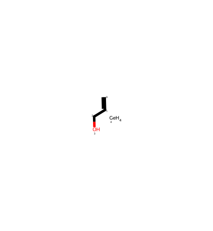 C=CCO.[GeH4]